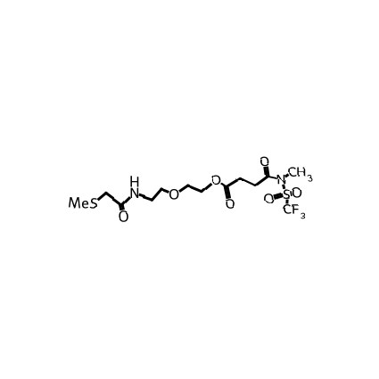 CSCC(=O)NCCOCCOC(=O)CCC(=O)N(C)S(=O)(=O)C(F)(F)F